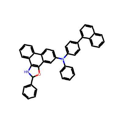 c1ccc(C2Nc3c(c4cc(N(c5ccccc5)c5ccc(-c6cccc7ccccc67)cc5)ccc4c4ccccc34)O2)cc1